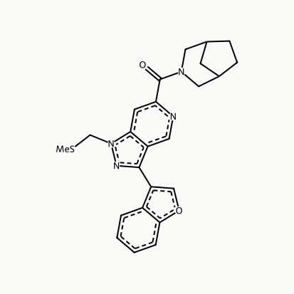 CSCn1nc(-c2coc3ccccc23)c2cnc(C(=O)N3CC4CCC(C4)C3)cc21